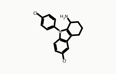 NC1CCCc2c1n(-c1ccc(Cl)cc1)c1ccc(Cl)cc21